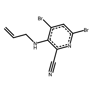 C=CCNc1c(Br)cc(Br)nc1C#N